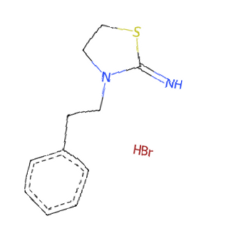 Br.N=C1SCCN1CCc1ccccc1